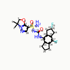 CC1(C)COc2c([S@](N)(=O)=NC(=O)Nc3c4c(c(F)c5c3C[C@@H](F)C5)CCC4)cnn21